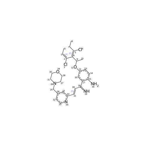 C/C=C(Cl)\C(=C(\Cl)CC)C(C)Oc1ccc(N)c(C(=N)/C=C/c2cc(CN3CCOCC3)ccn2)c1